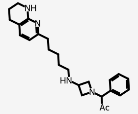 CC(=O)C(c1ccccc1)N1CC(NCCCCCc2ccc3c(n2)NCCC3)C1